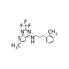 Cc1cc2c(NCCCc3ccccc3C)nc(C(F)(F)F)nc2s1